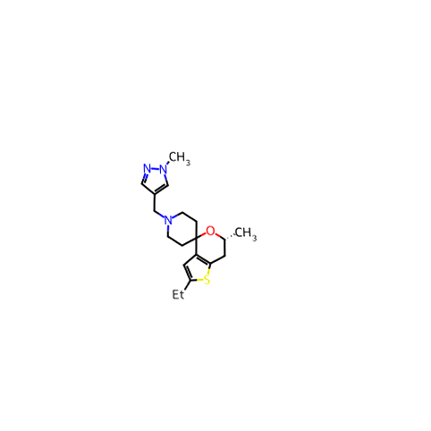 CCc1cc2c(s1)C[C@@H](C)OC21CCN(Cc2cnn(C)c2)CC1